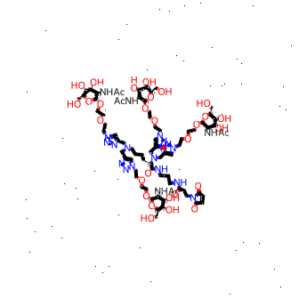 CC(=O)N[C@H]1[C@H](OCCOCCn2cc(CN(CCCC[C@@H](C(=O)NCCCNC(=O)CCN3C(=O)C=CC3=O)N(Cc3cn(CCOCCOC4O[C@H](CO)[C@H](O)[C@H](O)[C@H]4NC(C)=O)nn3)Cc3cn(CCOCCO[C@@H]4O[C@H](CO)[C@H](O)[C@H](O)[C@H]4NC(C)=O)nn3)Cc3cn(CCOCCO[C@@H]4O[C@H](CO)[C@H](O)[C@H](O)[C@H]4NC(C)=O)nn3)nn2)O[C@H](CO)[C@H](O)[C@@H]1O